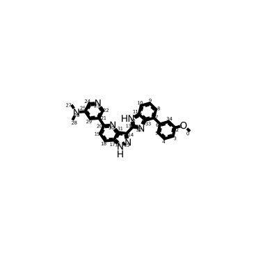 COc1cccc(-c2cccc3[nH]c(-c4n[nH]c5ccc(-c6cncc(N(C)C)c6)nc45)nc23)c1